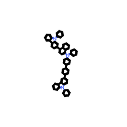 c1ccc(N(c2ccc(-c3ccc(-c4ccc5c(c4)c4ccccc4n5-c4ccccc4)cc3)cc2)c2ccc(-c3ccc4c5ccccc5n(-c5ccccc5)c4c3)c3ccccc23)cc1